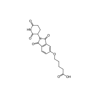 O=C(O)CCCCOc1ccc2c(c1)C(=O)N(C1CCC(=O)NC1=O)C2=O